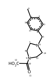 Cc1ccc(CN2CCN(C(=O)C(=O)O)CC2)cc1